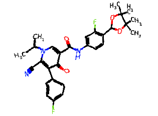 CC(C)n1cc(C(=O)Nc2ccc(C3OC(C)(C)C(C)(C)O3)c(F)c2)c(=O)c(-c2ccc(F)cc2)c1C#N